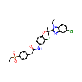 CCn1c(C(C)(C)Oc2ccc(NC(=O)Cc3ccc(S(=O)(=O)CC)cc3)cc2F)nc2cc(Cl)ccc21